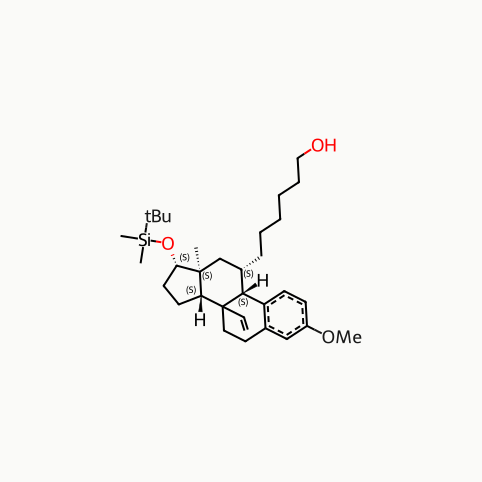 C=CC12CCc3cc(OC)ccc3[C@H]1[C@@H](CCCCCCO)C[C@]1(C)[C@@H](O[Si](C)(C)C(C)(C)C)CC[C@@H]21